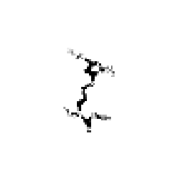 Cc1cc(OCCCN(C)C(=O)OC(C)(C)C)n(C)n1